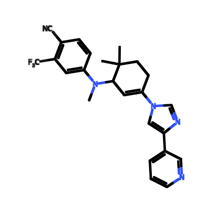 CN(c1ccc(C#N)c(C(F)(F)F)c1)C1C=C(n2cnc(-c3cccnc3)c2)CCC1(C)C